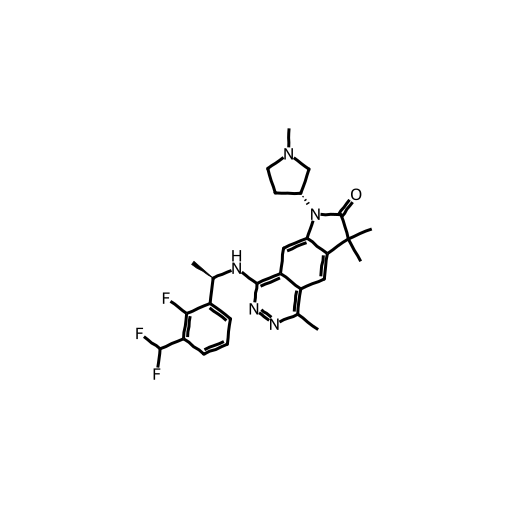 Cc1nnc(N[C@H](C)c2cccc(C(F)F)c2F)c2cc3c(cc12)C(C)(C)C(=O)N3[C@@H]1CCN(C)C1